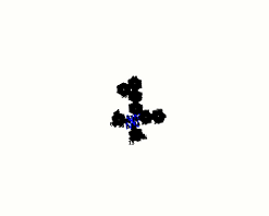 Cc1cc(C)cc(-c2nc(-c3cc(C)cc(C)c3)nc(-n3c4ccc(-c5ccccc5)cc4c4cc(-c5ccc6c7ccccc7c7ccccc7c6c5)ccc43)n2)c1